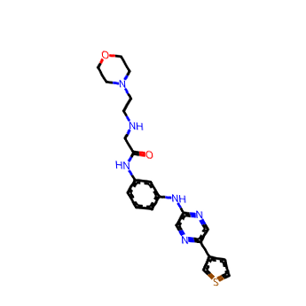 O=C(CNCCN1CCOCC1)Nc1cccc(Nc2cnc(-c3ccsc3)cn2)c1